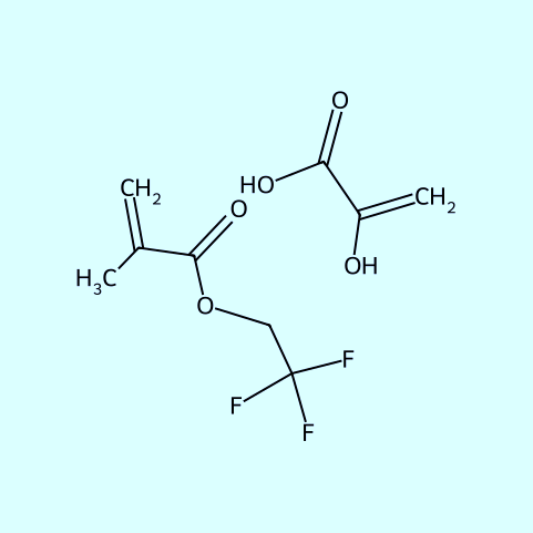 C=C(C)C(=O)OCC(F)(F)F.C=C(O)C(=O)O